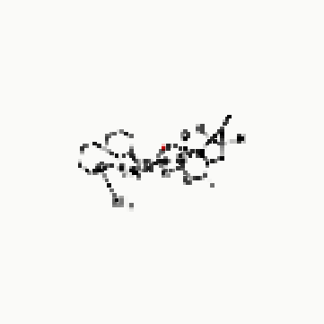 C[C@H]1[C@H]2C[C@@H]([C@H](C)Oc3nccc(-c4onc5c4CCC[C@@]54CCCc5sc(N)c(C#N)c54)n3)N(C(=O)OC(C)(C)C)[C@@H]12